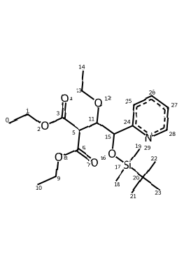 CCOC(=O)C(C(=O)OCC)C(OCC)C(O[Si](C)(C)C(C)(C)C)c1ccccn1